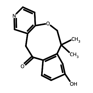 CC1(C)COc2ccncc2CC(=O)c2ccc(O)cc21